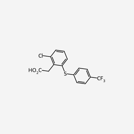 O=C(O)Cc1c(Cl)cccc1Sc1ccc(C(F)(F)F)cc1